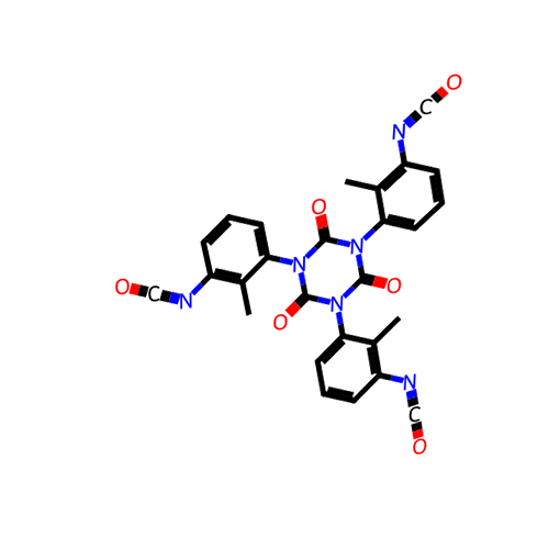 Cc1c(N=C=O)cccc1-n1c(=O)n(-c2cccc(N=C=O)c2C)c(=O)n(-c2cccc(N=C=O)c2C)c1=O